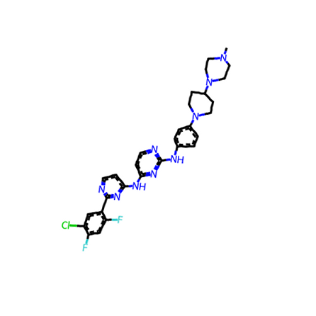 CN1CCN(C2CCN(c3ccc(Nc4nccc(Nc5ccnc(-c6cc(Cl)c(F)cc6F)n5)n4)cc3)CC2)CC1